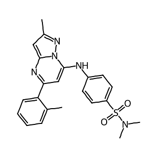 Cc1cc2nc(-c3ccccc3C)cc(Nc3ccc(S(=O)(=O)N(C)C)cc3)n2n1